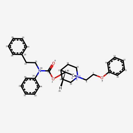 O=C(O[C@H]1C[N+]2(CCOc3ccccc3)CCC1CC2)N(CCc1ccccc1)c1ccccc1